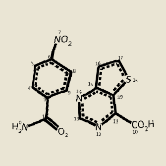 NC(=O)c1ccc([N+](=O)[O-])cc1.O=C(O)c1ncnc2ccsc12